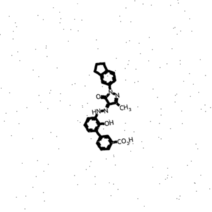 CC1=NN(c2ccc3c(c2)CCC3)C(=O)C1=NNc1cccc(-c2cccc(C(=O)O)c2)c1O